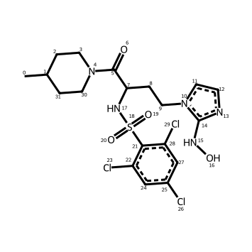 CC1CCN(C(=O)C(CCn2ccnc2NO)NS(=O)(=O)c2c(Cl)cc(Cl)cc2Cl)CC1